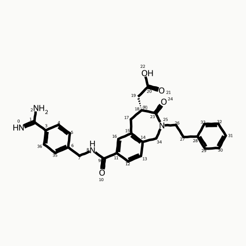 N=C(N)c1ccc(CNC(=O)c2ccc3c(c2)C[C@H](CC(=O)O)C(=O)N(CCc2ccccc2)C3)cc1